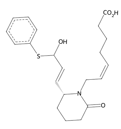 O=C(O)CCC/C=C\CN1C(=O)CCC[C@@H]1/C=C/C(O)Sc1ccccc1